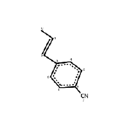 CC=Cc1ccc(C#N)cc1